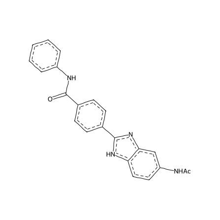 CC(=O)Nc1ccc2[nH]c(-c3ccc(C(=O)Nc4ccccc4)cc3)nc2c1